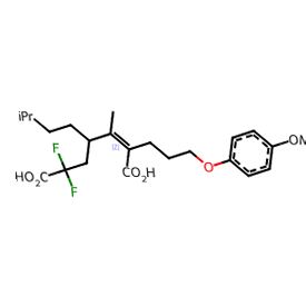 COc1ccc(OCCC/C(C(=O)O)=C(\C)C(CCC(C)C)CC(F)(F)C(=O)O)cc1